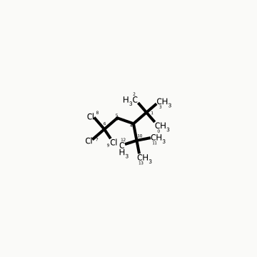 CC(C)(C)C([CH]C(Cl)(Cl)Cl)C(C)(C)C